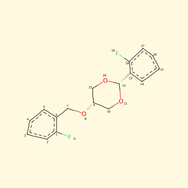 Fc1ccccc1CO[C@H]1CO[C@@H](c2ccccc2F)OC1